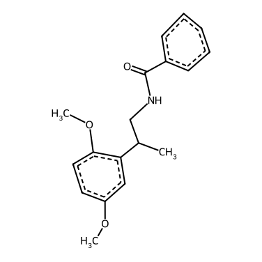 COc1ccc(OC)c(C(C)CNC(=O)c2ccccc2)c1